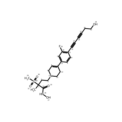 CC(CCN1CC=C(c2ccc(C#CC#CCCO)c(F)c2)CC1)(C(=O)NO)S(C)(=O)=O